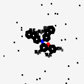 Cc1cc(C)c2c(c1)oc1c(N(c3ccc4c(c3)C(C)(C)c3ccccc3-4)c3ccc4c(c3)C(C)(C)c3ccccc3-4)cc(C)cc12